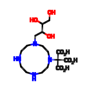 O=C(O)C(C(=O)O)(C(=O)O)N1CCNCCNCCN(CC(O)C(O)CO)CC1